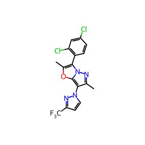 Cc1nn2c(-c3ccc(Cl)cc3Cl)c(C)oc2c1-n1ccc(C(F)(F)F)n1